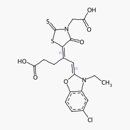 CCN1/C(=C/C(CCC(=O)O)=C2/SC(=S)N(CC(=O)O)C2=O)Oc2ccc(Cl)cc21